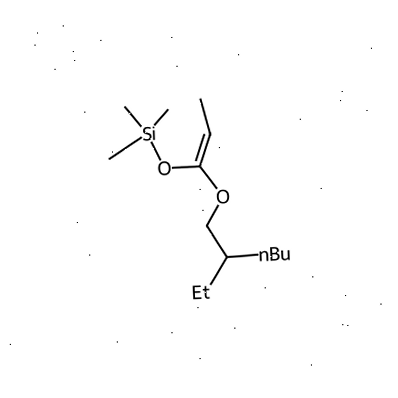 CC=C(OCC(CC)CCCC)O[Si](C)(C)C